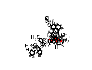 C=C1CN2[C@H](CO[Si](c3ccccc3)(c3ccccc3)C(C)(C)C)CC[C@@]2(COc2nc(N3C[C@H]4CC[C@@H](C3)N4C(=O)OC(C)(C)C)c3cnc(-c4cc(OCOC)cc5ccc(F)c(C#C[Si](C(C)C)(C(C)C)C(C)C)c45)c(F)c3n2)C1